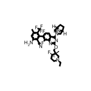 CCN1CC[C@@H](F)[C@](C)(COc2nc(N3C[C@H]4CC[C@@H](C3)N4)c3cc(F)c(-c4c(C#N)c(N)cc(C)c4C(F)(F)F)c(F)c3n2)C1